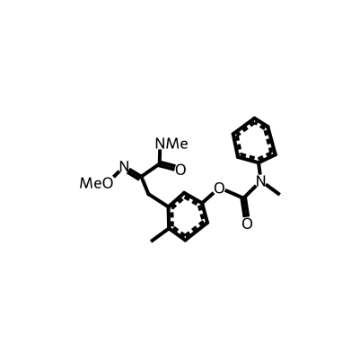 CNC(=O)/C(Cc1cc(OC(=O)N(C)c2ccccc2)ccc1C)=N/OC